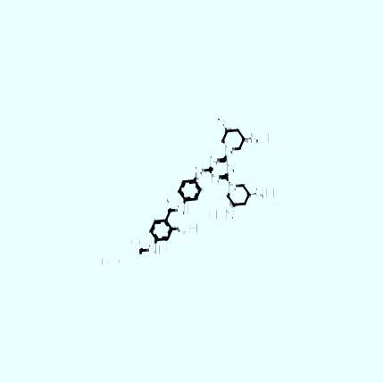 CCCCCC(=O)Nc1ccc(C(=O)Nc2ccc(Nc3nc(N4C[C@H](N)C[C@H](N)C4)nc(N4C[C@H](N)C[C@H](N)C4)n3)cc2)c(O)c1